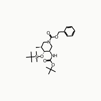 C[C@H]1CN(C(=O)OCc2ccccc2)C[C@@H](NC(=O)OC(C)(C)C)[C@@H]1O[Si](C)(C)C(C)(C)C